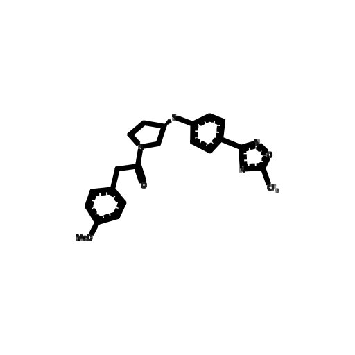 COc1ccc(CC(=O)N2CC[C@H](Sc3ccc(-c4noc(C(F)(F)F)n4)cc3)C2)cc1